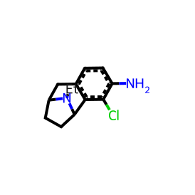 CCN1C2CCC1c1c(ccc(N)c1Cl)C2